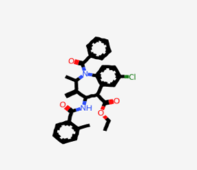 C=C1C(NC(=O)c2ccccc2C)C(C(=O)OCC)c2cc(Cl)ccc2N(C(=O)c2ccccc2)C1C